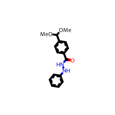 COC(OC)c1ccc(C(=O)NNc2ccccc2)cc1